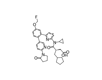 O=C(O)C[C@@H](CC1CCCC1)C(=O)N(c1nc(-c2cc(OCF)ccc2-c2ccc(N3CCCC3=O)nc2)cs1)C1CC1